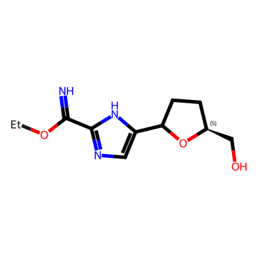 CCOC(=N)c1ncc(C2CC[C@@H](CO)O2)[nH]1